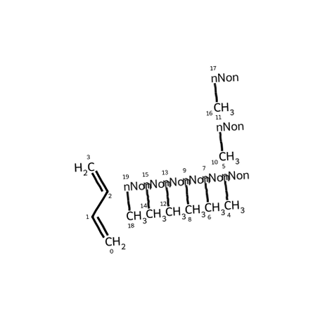 C=CC=C.CCCCCCCCCC.CCCCCCCCCC.CCCCCCCCCC.CCCCCCCCCC.CCCCCCCCCC.CCCCCCCCCC.CCCCCCCCCC.CCCCCCCCCC